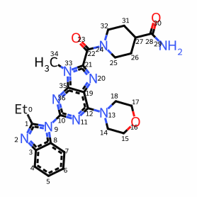 CCc1nc2ccccc2n1-c1nc(N2CCOCC2)c2nc(C(=O)N3CCC(C(N)=O)CC3)n(C)c2n1